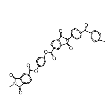 Cc1ccc(C(=O)c2ccc(N3C(=O)c4ccc(C(=O)Oc5ccc(OC(=O)c6ccc7c(c6)C(=O)N(C)C7=O)cc5)cc4C3=O)cc2)cc1